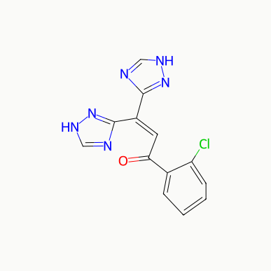 O=C(C=C(c1nc[nH]n1)c1nc[nH]n1)c1ccccc1Cl